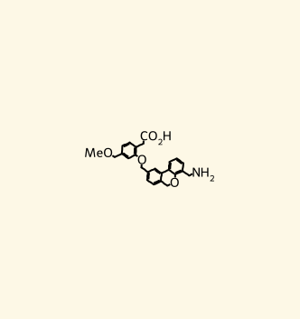 COCc1ccc(CC(=O)O)c(OCc2ccc3c(c2)-c2cccc(CN)c2OC3)c1